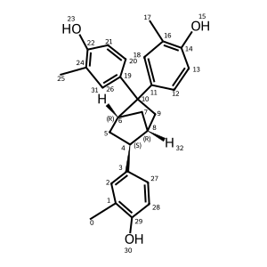 Cc1cc([C@H]2C[C@H]3C[C@@H]2CC3(c2ccc(O)c(C)c2)c2ccc(O)c(C)c2)ccc1O